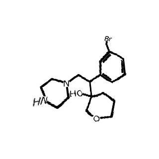 OC1(C(CN2CCNCC2)c2cccc(Br)c2)CCCOC1